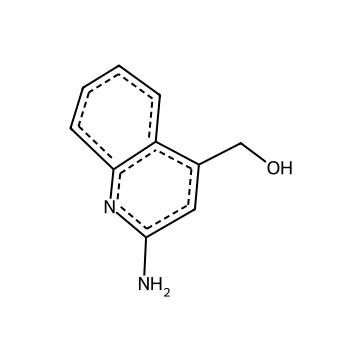 Nc1cc(CO)c2ccccc2n1